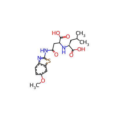 COc1ccc2nc(NC(=O)CC(N[C@@H](CC(C)C)C(=O)O)C(=O)O)sc2c1